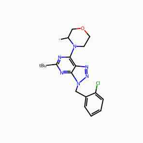 [CH]C1COCCN1c1nc(C(C)(C)C)nc2c1nnn2Cc1ccccc1Cl